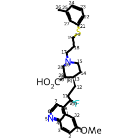 COc1ccc2nccc(C(F)CC[C@@H]3CCN(CCCSc4cccc(C)c4)C[C@@H]3C(=O)O)c2c1